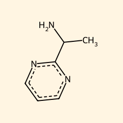 CC(N)c1ncccn1